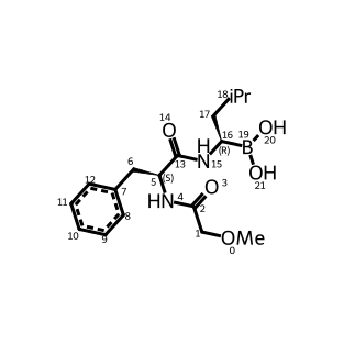 COCC(=O)N[C@@H](Cc1ccccc1)C(=O)N[C@@H](CC(C)C)B(O)O